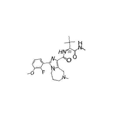 CNC(=O)[C@@H](NC(=O)c1nc(-c2cccc(OC)c2F)n2c1CN(C)CCC2)C(C)(C)C